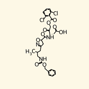 CC(CNC(=O)OCc1ccccc1)CC1=NOC(C(=O)N[C@@H](CC(=O)O)C(=O)COC(=O)c2c(Cl)cccc2Cl)C1